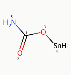 NC(=O)[O][SnH]